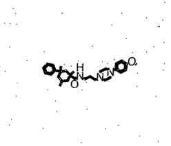 COc1ccc(N2CCN(CCCNC(=O)C3(C)CC(C)CC(C)(c4ccccc4)C3)CC2)cc1